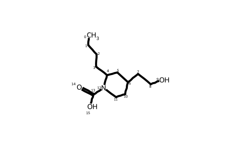 CCCCC1CC(CCO)CCN1C(=O)O